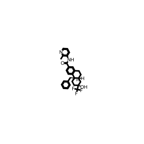 Cc1ncccc1NC(=O)c1ccc2c(c1)CC[C@@H]1C[C@](O)(C(F)(F)F)CC[C@]21Cc1ccccc1